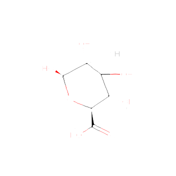 C[C@]1(O)[C@H](O)[C@@H](C(=O)O)O[C@@H](O)[C@@H]1O